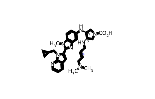 CN(C)C/C=C/CN[C@H]1CN(C(=O)O)C[C@@H]1Nc1ccc2c(c1)nc(-c1cc3cccnc3n1CC1CC1)n2C